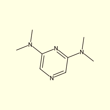 CN(C)c1cncc(N(C)C)n1